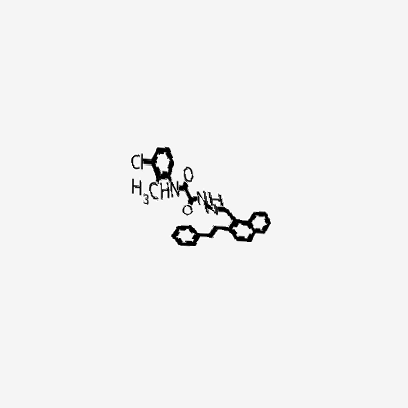 Cc1c(Cl)cccc1NC(=O)C(=O)N/N=C/c1c(CCc2ccccc2)ccc2ccccc12